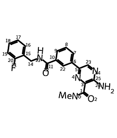 CNC(=O)c1nc(-c2cccc(C(=O)NCc3ccccc3F)c2)cnc1N